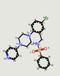 O=S(=O)(NCc1cc(Br)ccc1N1CCN(c2ccncc2)CC1)c1ccccc1